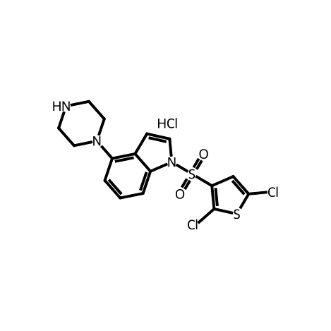 Cl.O=S(=O)(c1cc(Cl)sc1Cl)n1ccc2c(N3CCNCC3)cccc21